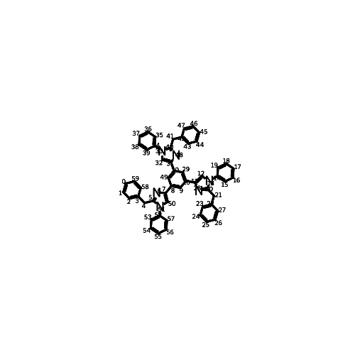 c1ccc(Cc2nc(-c3cc(-c4cn(-c5ccccc5)c(Cc5ccccc5)n4)cc(-c4cn(-c5ccccc5)c(Cc5ccccc5)n4)c3)cn2-c2ccccc2)cc1